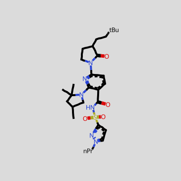 CCCn1ccc(S(=O)(=O)NC(=O)c2ccc(N3CCC(CCC(C)(C)C)C3=O)nc2N2CC(C)CC2(C)C)n1